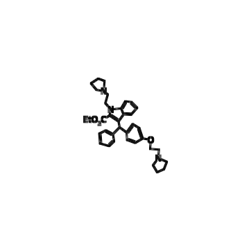 CCOC(=O)c1c(C(c2ccccc2)c2ccc(OCCN3CCCC3)cc2)c2ccccc2n1CCN1CCCC1